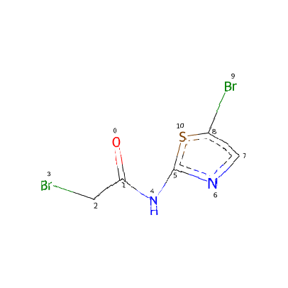 O=C(CBr)Nc1ncc(Br)s1